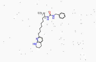 O=C(NCc1ccccc1)N[C@@H](CCCCCCCc1ccc2c(n1)NCCC2)C(=O)O